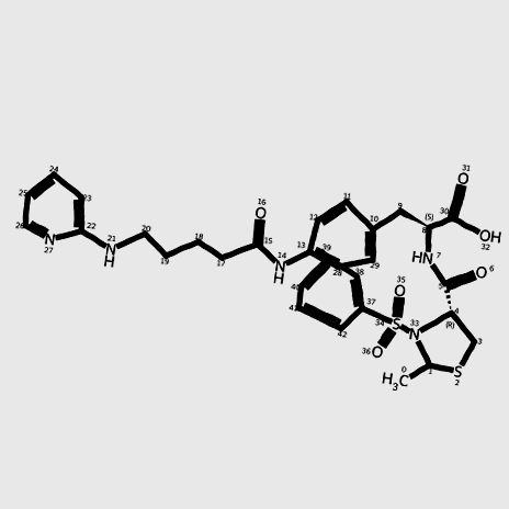 CC1SC[C@@H](C(=O)N[C@@H](Cc2ccc(NC(=O)CCCCNc3ccccn3)cc2)C(=O)O)N1S(=O)(=O)c1ccccc1